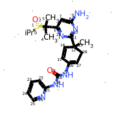 CC(C)[S+]([O-])C(C)(C)c1cc(N)nc(C2(C)C=CC(NC(=O)Nc3ccccn3)=CC2)n1